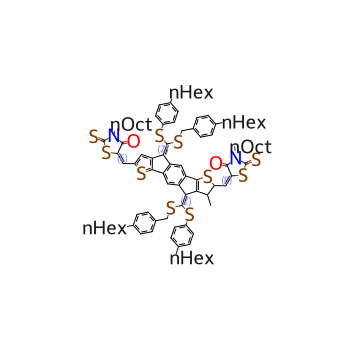 CCCCCCCCN1C(=O)/C(=C\c2cc3c(s2)-c2cc4c(cc2/C3=C(\SCc2ccc(CCCCCC)cc2)Sc2ccc(CCCCCC)cc2)C2=C(/C4=C(/SCc3ccc(CCCCCC)cc3)Sc3ccc(CCCCCC)cc3)C(C)C(/C=C3/SC(=S)N(CCCCCCCC)C3=O)S2)SC1=S